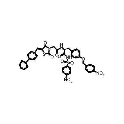 O=C(CN1C(=O)SC(=Cc2ccc(-c3ccccc3)cc2)C1=O)N[C@@H](Cc1ccc(OCc2ccc([N+](=O)[O-])cc2)cc1)C(=O)NS(=O)(=O)c1ccc([N+](=O)[O-])cc1